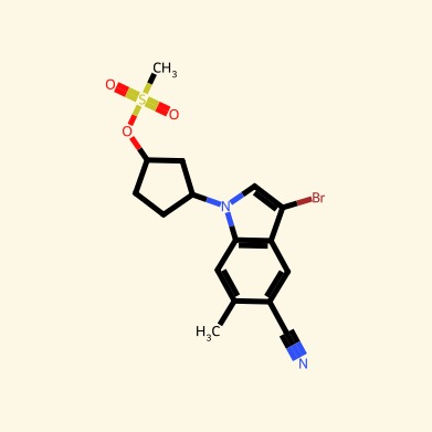 Cc1cc2c(cc1C#N)c(Br)cn2C1CCC(OS(C)(=O)=O)C1